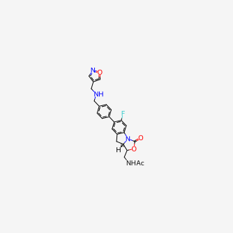 CC(=O)NCC1OC(=O)N2c3cc(F)c(-c4ccc(CNCc5cnoc5)cc4)cc3C[C@@H]12